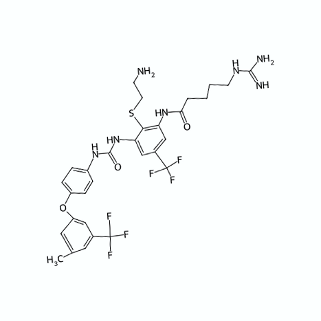 Cc1cc(Oc2ccc(NC(=O)Nc3cc(C(F)(F)F)cc(NC(=O)CCCCNC(=N)N)c3SCCN)cc2)cc(C(F)(F)F)c1